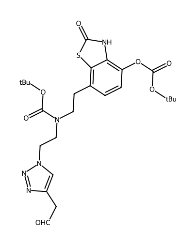 CC(C)(C)OC(=O)Oc1ccc(CCN(CCn2cc(CC=O)nn2)C(=O)OC(C)(C)C)c2sc(=O)[nH]c12